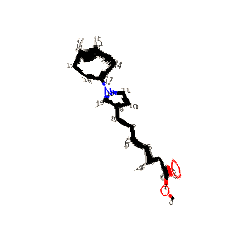 COC(=O)CCC/C=C/c1ccn(-c2ccccc2)c1